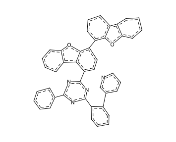 c1ccc(-c2nc(-c3ccccc3-c3cccnc3)nc(-c3ccc(-c4cccc5c4oc4ccccc45)c4oc5ccccc5c34)n2)cc1